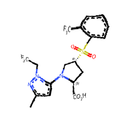 Cc1cc(N2C[C@H](S(=O)(=O)c3ccccc3C(F)(F)F)C[C@H]2C(=O)O)n(CC(F)(F)F)n1